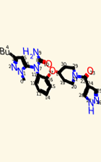 Cn1nc(C(C)(C)C)cc1N(C(N)=O)c1ccccc1OC1CCN(C(=O)c2cn[nH]c2)CC1